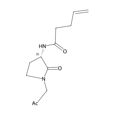 C=CCCC(=O)N[C@H]1CCN(CC(C)=O)C1=O